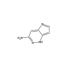 Nc1cc2nccc-2[nH]n1